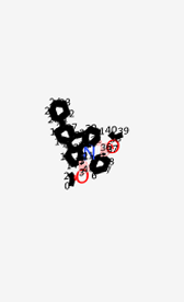 CC(C)OB1c2cccc3c2-n2c4c1ccc1c5ccc(-c6ccccc6)cc5c5ccc(c2c5c14)B3OC(C)C